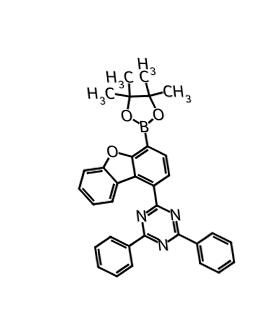 CC1(C)OB(c2ccc(-c3nc(-c4ccccc4)nc(-c4ccccc4)n3)c3c2oc2ccccc23)OC1(C)C